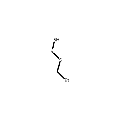 CCCSSS